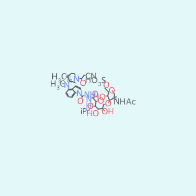 CC(=O)N[C@@H]1COC(COS(=O)(=O)O)C(O)C1OC1OC(C(=O)NNC(=O)n2ccc3c(N(C)[C@H]4CN(C(=O)CC#N)CC[C@H]4C)cccc32)C(OC(C)C)C(O)C1O